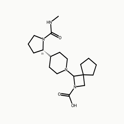 CNC(=O)N1CCC[C@H]1C1CCN(C2N(C(=O)O)CC23CCCC3)CC1